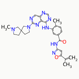 C=C(C)c1cc(NC(=O)c2ccc(C)c(Nc3ncnc4cnc(N5CCC6(CCN(C)C6)C5)nc34)c2)no1